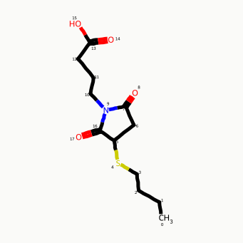 CCCCSC1CC(=O)N(CCCC(=O)O)C1=O